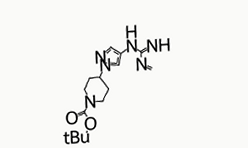 C=NC(=N)Nc1cnn(C2CCN(C(=O)OC(C)(C)C)CC2)c1